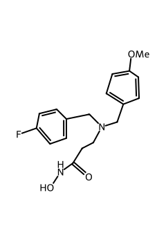 COc1ccc(CN(CCC(=O)NO)Cc2ccc(F)cc2)cc1